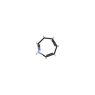 [C]1=CC=CCC=N1